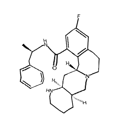 C[C@@H](NC(=O)c1cc(F)cc2c1[C@H]1C[C@@H]3NCCC[C@@H]3CN1CC2)c1ccccc1